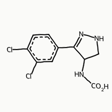 O=C(O)NC1CNN=C1c1ccc(Cl)c(Cl)c1